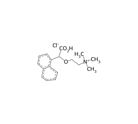 C[N+](C)(C)CCOC(C(=O)O)c1cccc2ccccc12.[Cl-]